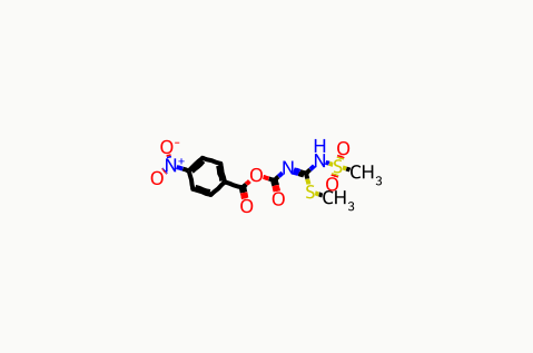 CSC(=NC(=O)OC(=O)c1ccc([N+](=O)[O-])cc1)NS(C)(=O)=O